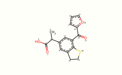 CC(C(=O)O)c1cc2c(c(C(=O)c3ccco3)c1)SCC2